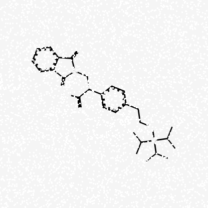 CC(C)[Si](OCCc1ccc([C@H](CN2C(=O)c3ccccc3C2=O)C(=O)O)cc1)(C(C)C)C(C)C